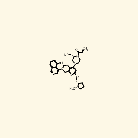 C=CC(=O)N1CCN(c2nc(OC[C@@H]3CCCN3C)nc3c2CCN(c2cncc4cccc(Cl)c24)C3)C[C@@H]1CC#N